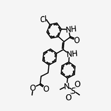 COC(=O)CCc1cccc(/C(Nc2ccc(N(C)S(C)(=O)=O)cc2)=C2/C(=O)Nc3cc(Cl)ccc32)c1